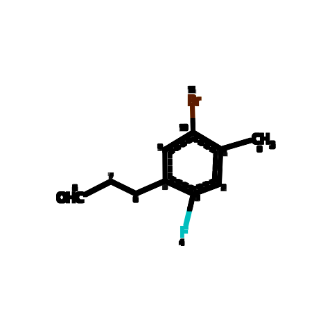 Cc1cc(F)c(CCC=O)cc1Br